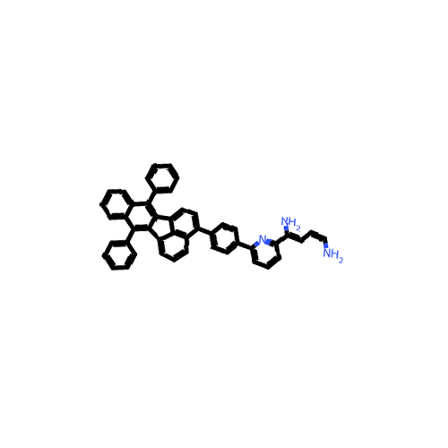 N/C=C\C=C(/N)c1cccc(-c2ccc(-c3ccc4c5c(cccc35)-c3c-4c(-c4ccccc4)c4ccccc4c3-c3ccccc3)cc2)n1